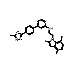 Cc1nnc(-c2ccc(-c3cc(NCCn4c(C)cc5c(C)ccc(F)c54)ncn3)cc2)o1